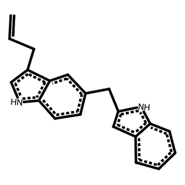 C=CCc1c[nH]c2ccc(Cc3cc4ccccc4[nH]3)cc12